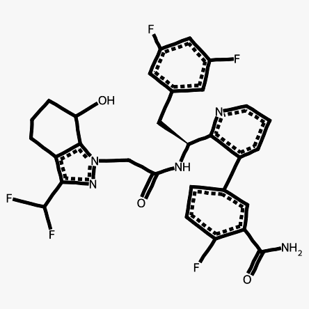 NC(=O)c1cc(-c2cccnc2[C@H](Cc2cc(F)cc(F)c2)NC(=O)Cn2nc(C(F)F)c3c2C(O)CCC3)ccc1F